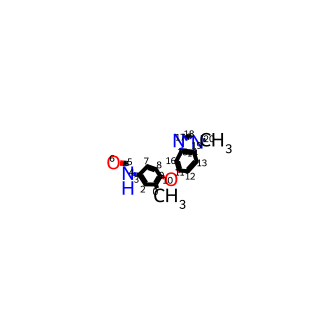 Cc1cc(NC=O)ccc1Oc1ccc2c(c1)ncn2C